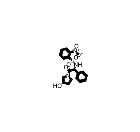 O=C([C@@H](NS(=O)(=O)c1ccccc1[N+](=O)[O-])c1ccccc1)N1CC[C@H](O)C1